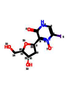 O=c1[nH]cc(I)[n+]([O-])c1[C@H]1C[C@H](O)[C@@H](CO)O1